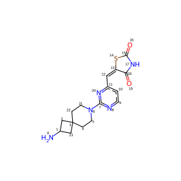 NC1CC2(CCN(c3nccc(C=C4SC(=O)NC4=O)n3)CC2)C1